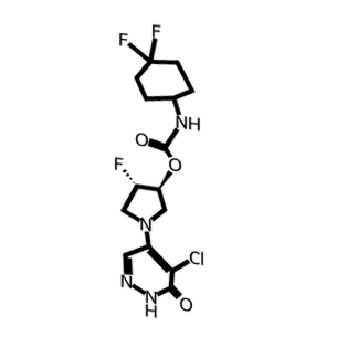 O=C(NC1CCC(F)(F)CC1)O[C@H]1CN(c2cn[nH]c(=O)c2Cl)C[C@@H]1F